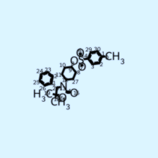 Cc1ccc(S(=O)(=O)O[C@H]2CC[C@@H](N3C(=O)OC(C)(C)[C@@H]3c3ccccc3)CC2)cc1